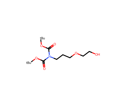 CC(C)(C)OC(=O)N(CCCOCCO)C(=O)OC(C)(C)C